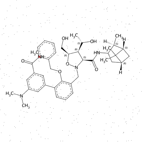 CNC(=O)c1cc(-c2cccc(CN3O[C@@H](CO)[C@@H]([C@H](C)O)[C@H]3C(=O)NC3C[C@H]4C[C@@H]([C@@H]3C)C4(C)C)c2OCc2ccccn2)cc(N(C)C)c1